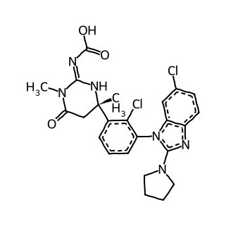 CN1C(=O)C[C@@](C)(c2cccc(-n3c(N4CCCC4)nc4ccc(Cl)cc43)c2Cl)N/C1=N\C(=O)O